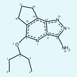 CCC(CC)Oc1nn2c(N)nnc2c2c1CCC2